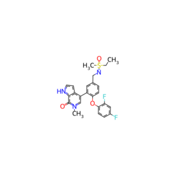 CCS(C)(=O)=NCc1ccc(Oc2ccc(F)cc2F)c(-c2cn(C)c(=O)c3[nH]ccc23)c1